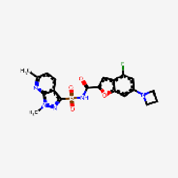 Cc1ccc2c(S(=O)(=O)NC(=O)c3cc4c(F)cc(N5CCC5)cc4o3)nn(C)c2n1